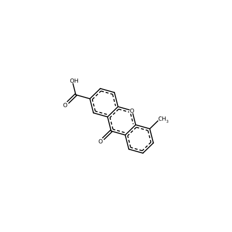 Cc1cccc2c(=O)c3cc(C(=O)O)ccc3oc12